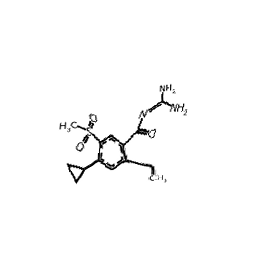 CCc1cc(C2CC2)c(S(C)(=O)=O)cc1C(=O)N=C(N)N